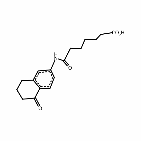 O=C(O)CCCCCC(=O)Nc1ccc2c(c1)CCCC2=O